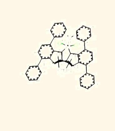 C[SiH](C)[Zr]([Cl])([Cl])([CH]1C(C(C)(C)C)=Cc2c(-c3ccccc3)ccc(-c3ccccc3)c21)[CH]1C(C(C)(C)C)=Cc2c(-c3ccccc3)ccc(-c3ccccc3)c21